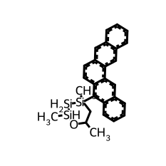 CC1C[Si](C)(c2c3ccccc3cc3c2ccc2cc4ccccc4cc23)[SiH2][SiH](C)O1